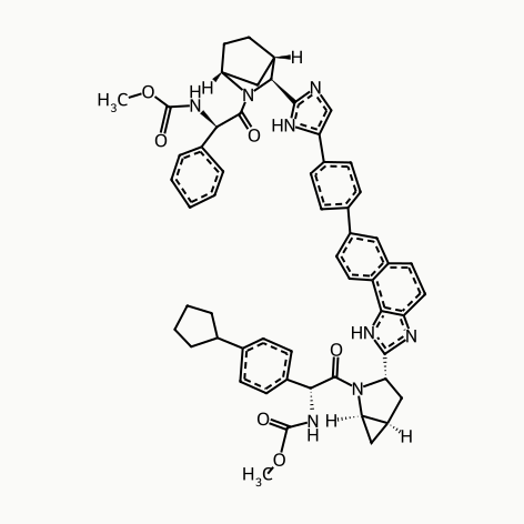 COC(=O)N[C@@H](C(=O)N1[C@@H]2CC[C@@H](C2)[C@H]1c1ncc(-c2ccc(-c3ccc4c(ccc5nc([C@@H]6C[C@H]7C[C@H]7N6C(=O)[C@H](NC(=O)OC)c6ccc(C7CCCC7)cc6)[nH]c54)c3)cc2)[nH]1)c1ccccc1